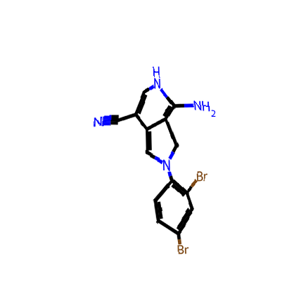 N#CC1=CNC(N)=C2CN(c3ccc(Br)cc3Br)C=C12